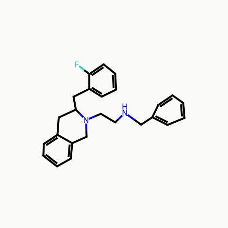 Fc1ccccc1CC1Cc2ccccc2CN1CCNCc1ccccc1